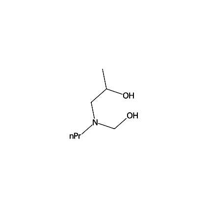 CCCN(CO)CC(C)O